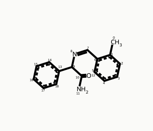 Cc1ccccc1/C=N\C(C(N)=O)c1ccccc1